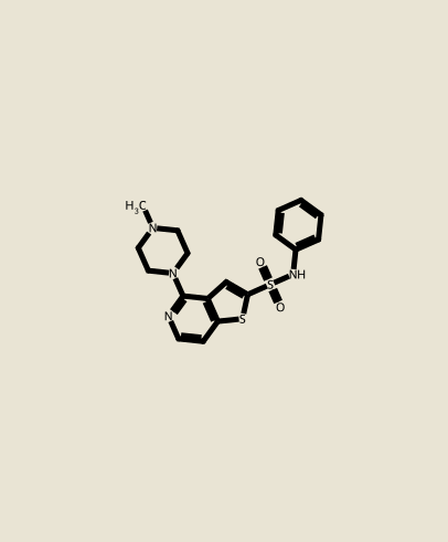 CN1CCN(c2nccc3sc(S(=O)(=O)Nc4ccccc4)cc23)CC1